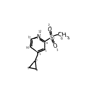 CS(=O)(=O)c1cc([C]2CC2)ccn1